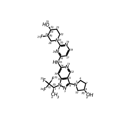 C[C@H](n1nc(N2CC[C@@H](O)C2)c2cnc(Nc3ccnc(N4CC[C@H](O)[C@H](F)C4)n3)cc21)C(F)(F)F